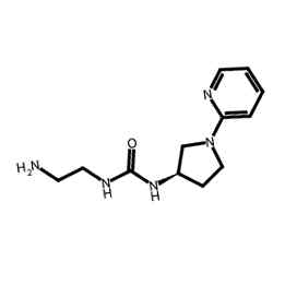 NCCNC(=O)N[C@@H]1CCN(c2ccccn2)C1